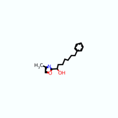 Cc1coc(C(O)CCCCCCc2ccccc2)n1